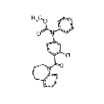 COC(=O)N(c1ccncc1)c1ccc(C(=O)N2CCCCc3ccccc32)c(Cl)c1